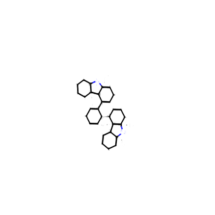 C1CC[C@H]2C(C1)N[C@H]1CCCC(C3CCCC[C@@H]3C3CCC[C@H]4N[C@H]5CCCCC5[C@@H]34)C21